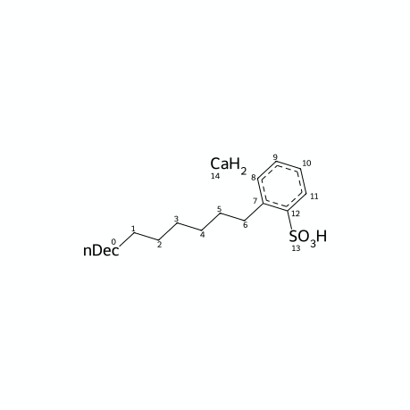 CCCCCCCCCCCCCCCCc1ccccc1S(=O)(=O)O.[CaH2]